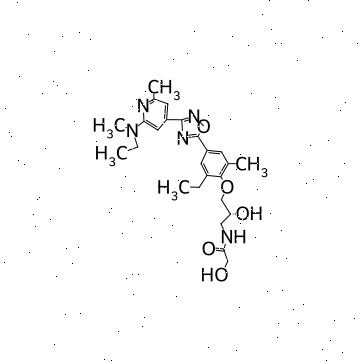 CCc1cc(-c2nc(-c3cc(C)nc(N(C)CC)c3)no2)cc(C)c1OC[C@H](O)CNC(=O)CO